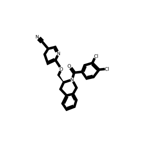 N#CC1C=NC(OC[C@@H]2Cc3ccccc3CN2C(=O)c2ccc(Cl)c(Cl)c2)=CC1